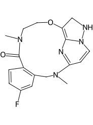 CN1CCOC2=C3N=C(C=CN3NC2)N(C)Cc2cc(F)ccc2C1=O